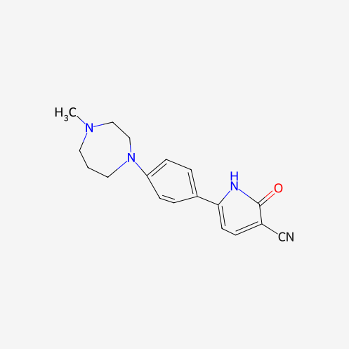 CN1CCCN(c2ccc(-c3ccc(C#N)c(=O)[nH]3)cc2)CC1